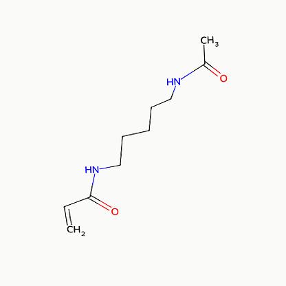 C=CC(=O)NCCCCCNC(C)=O